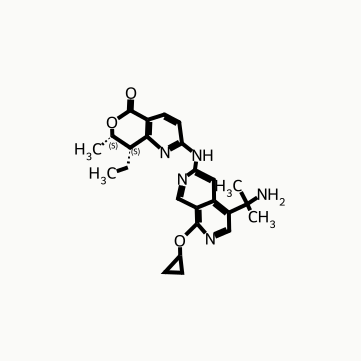 CC[C@H]1c2nc(Nc3cc4c(C(C)(C)N)cnc(OC5CC5)c4cn3)ccc2C(=O)O[C@H]1C